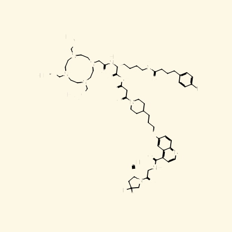 C#C[C@H]1CC(F)(F)CN1C(=O)CNC(=O)c1ccnc2ccc(OCCCC3CCN(C(=O)CC(=O)NC(=O)[C@H](CCCCNC(=O)CCCc4ccc(I)cc4)NC(=O)CN4CCN(COC=O)CCN(COC=O)CCN(CC(=O)O)CC4)CC3)cc12